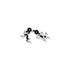 COC(=O)CCC(C(N)=O)N1Cc2c(OCc3ccc(CNC(C)(C)C(=O)OC(C)(C)C)cc3)cccc2C1=O